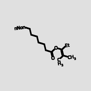 CCCCCCCCCCCCCCCC(=O)OC(CC)=C(C)C